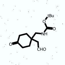 CC(C)(C)OC(=O)NCC1(CC=O)CCC(=O)CC1